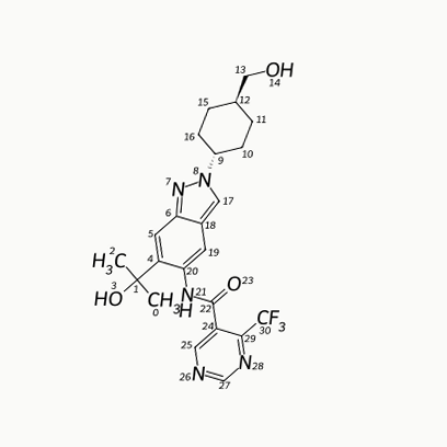 CC(C)(O)c1cc2nn([C@H]3CC[C@H](CO)CC3)cc2cc1NC(=O)c1cncnc1C(F)(F)F